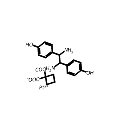 NC(c1ccc(O)cc1)C(N)c1ccc(O)cc1.O=C([O-])C1(C(=O)[O-])CCC1.[Pt+2]